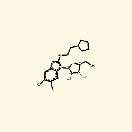 OC[C@@H]1O[C@H](n2c(NCCN3CCCC3)nc3cc(Cl)c(Cl)cc32)[C@@H](O)[C@H]1O